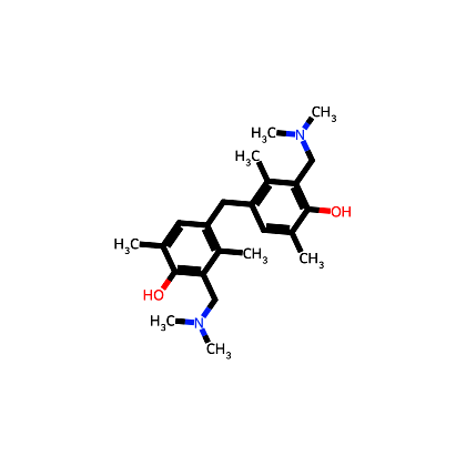 Cc1cc(Cc2cc(C)c(O)c(CN(C)C)c2C)c(C)c(CN(C)C)c1O